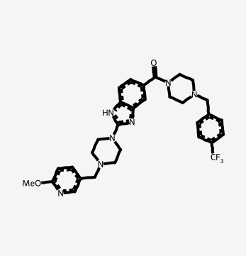 COc1ccc(CN2CCN(c3nc4cc(C(=O)N5CCN(Cc6ccc(C(F)(F)F)cc6)CC5)ccc4[nH]3)CC2)cn1